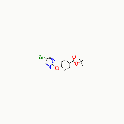 CC(C)(C)OC(=O)[C@H]1CC[C@H](Oc2ncc(Br)cn2)CC1